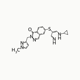 Cn1ccc(Cn2ncc3cc(S/C(C=N)=C/NC4CC4)ccc3c2=O)n1